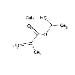 C=C(C)C(=O)OC(C)O.[NaH]